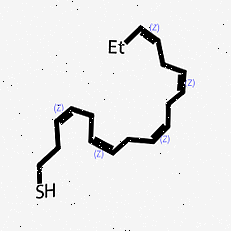 CC/C=C\C/C=C\C/C=C\C/C=C\C/C=C\CCS